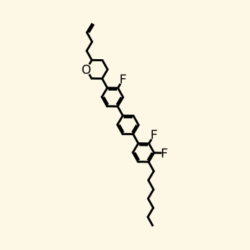 C=CCCC1CCC(c2ccc(-c3ccc(-c4ccc(CCCCCCC)c(F)c4F)cc3)cc2F)CO1